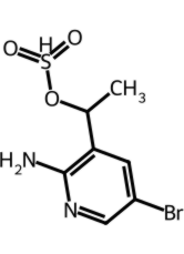 CC(O[SH](=O)=O)c1cc(Br)cnc1N